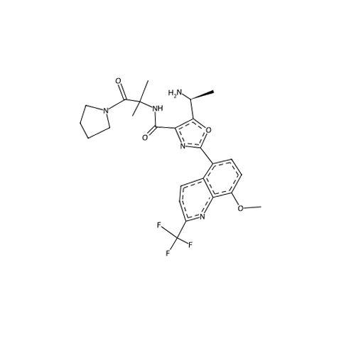 COc1ccc(-c2nc(C(=O)NC(C)(C)C(=O)N3CCCC3)c([C@H](C)N)o2)c2ccc(C(F)(F)F)nc12